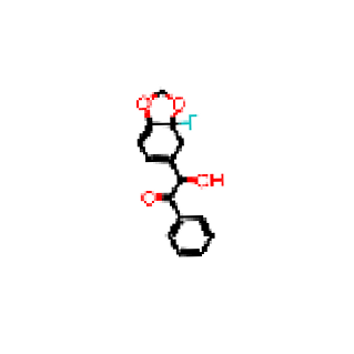 O=C(c1ccccc1)C(O)C1=CC=C2OCOC2(F)C1